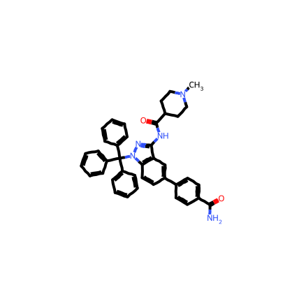 CN1CCC(C(=O)Nc2nn(C(c3ccccc3)(c3ccccc3)c3ccccc3)c3ccc(-c4ccc(C(N)=O)cc4)cc23)CC1